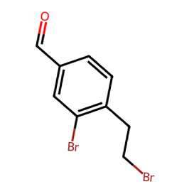 O=Cc1ccc(CCBr)c(Br)c1